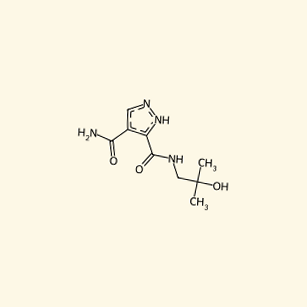 CC(C)(O)CNC(=O)c1[nH]ncc1C(N)=O